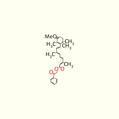 CO[C@H]1CCC(C)(C)C(C=CC(C)=CC=CC(C)=CC(=O)OCC(=O)c2ccccc2)=C1C